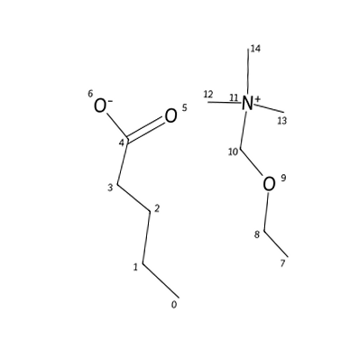 CCCCC(=O)[O-].CCOC[N+](C)(C)C